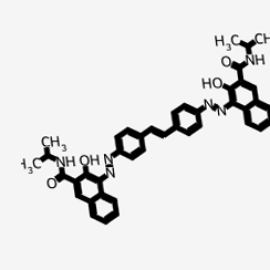 CC(C)NC(=O)c1cc2ccccc2c(N=Nc2ccc(C=Cc3ccc(N=Nc4c(O)c(C(=O)NC(C)C)cc5ccccc45)cc3)cc2)c1O